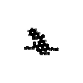 CCCCCC(=O)Oc1cc(C(=O)OCc2ccccc2O)cc(OC(=O)CCCCC)c1OC(=O)CCCCC